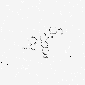 CN[C@@H](C)C(=O)N[C@H](C(=O)N1Cc2cc(OC)ccc2C[C@H]1C(=O)N[C@@H]1CCCc2ccccc21)C(C)(C)C